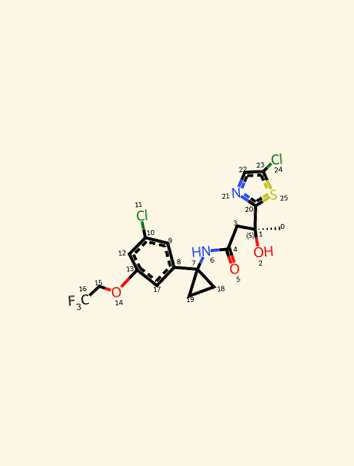 C[C@](O)(CC(=O)NC1(c2cc(Cl)cc(OCC(F)(F)F)c2)CC1)c1ncc(Cl)s1